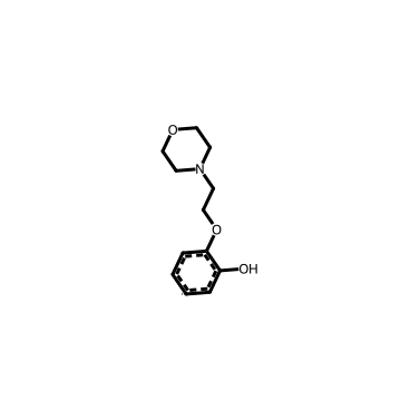 Oc1c[c]ccc1OCCN1CCOCC1